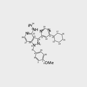 COc1ccc(Cn2nc(-c3cc(C4CCCCC4)ncn3)c3c(NC(C)C)nccc32)cc1